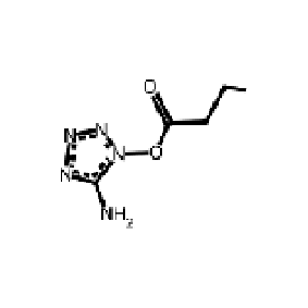 CCCC(=O)On1nnnc1N